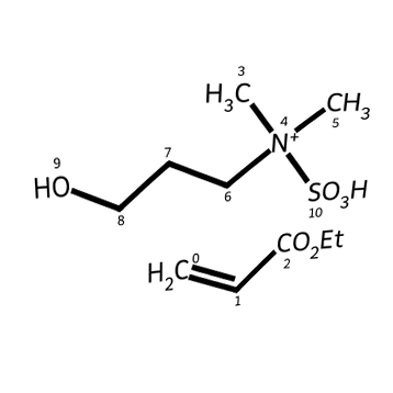 C=CC(=O)OCC.C[N+](C)(CCCO)S(=O)(=O)O